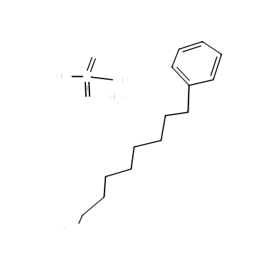 CCCCCCCCCc1ccccc1.O.O=S(=O)(O)O